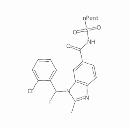 CCCCCS(=O)(=O)NC(=O)c1ccc2nc(C)n(C(I)c3ccccc3Cl)c2c1